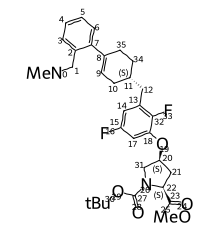 CNCc1ccccc1C1=CC[C@@H](Cc2cc(F)cc(O[C@H]3C[C@@H](C(=O)OC)N(C(=O)OC(C)(C)C)C3)c2F)CC1